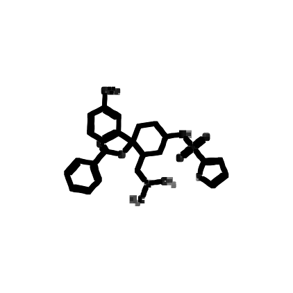 COc1cccc(C2(OC(=O)c3ccccc3)CCC(NS(=O)(=O)c3cccs3)CC2CN(C)C)c1